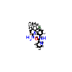 CO[C@H]1C[C@H]2CSC(N)=N[C@@]2(c2cc(NC(=O)c3ccccn3)ccc2F)C1